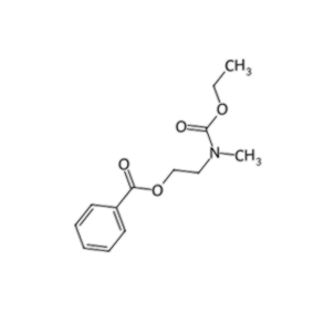 CCOC(=O)N(C)CCOC(=O)c1ccccc1